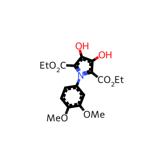 CCOC(=O)c1c(O)c(O)c(C(=O)OCC)n1-c1ccc(OC)c(OC)c1